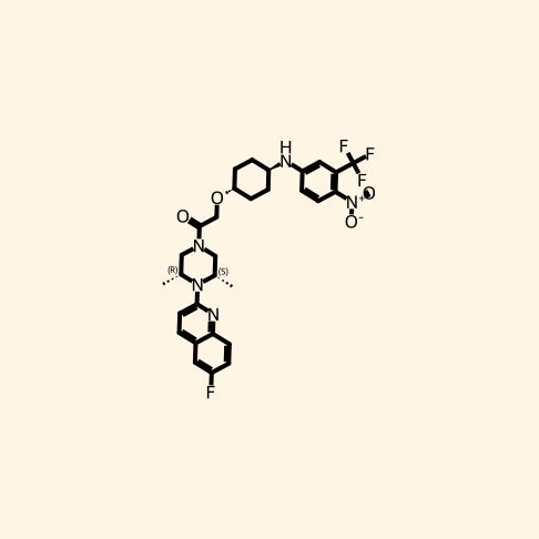 C[C@@H]1CN(C(=O)CO[C@H]2CC[C@H](Nc3ccc([N+](=O)[O-])c(C(F)(F)F)c3)CC2)C[C@H](C)N1c1ccc2cc(F)ccc2n1